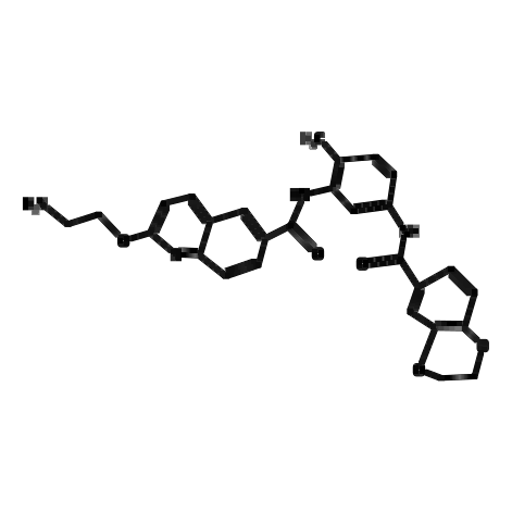 Cc1ccc(NC(=O)c2ccc3c(c2)OCCO3)cc1NC(=O)c1ccc2nc(OCCN)ccc2c1